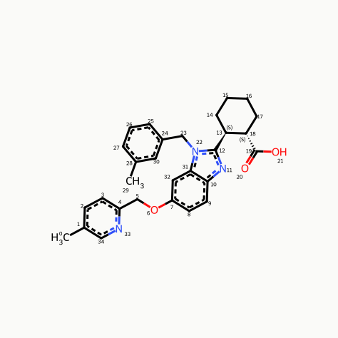 Cc1ccc(COc2ccc3nc([C@H]4CCCC[C@@H]4C(=O)O)n(Cc4cccc(C)c4)c3c2)nc1